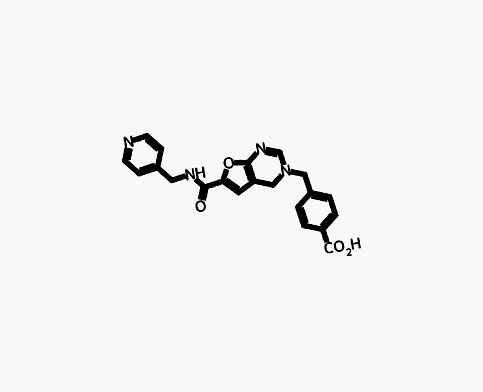 O=C(O)c1ccc(CN2C=Nc3oc(C(=O)NCc4ccncc4)cc3C2)cc1